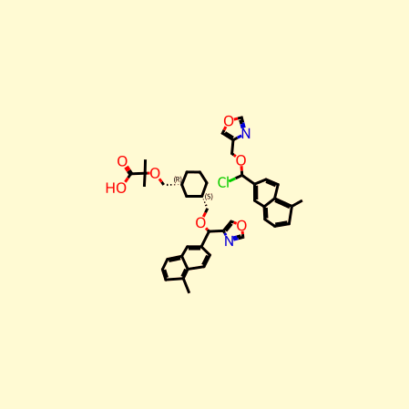 Cc1cccc2cc(C(Cl)OCc3cocn3)ccc12.Cc1cccc2cc(C(OC[C@H]3CCC[C@@H](COC(C)(C)C(=O)O)C3)c3cocn3)ccc12